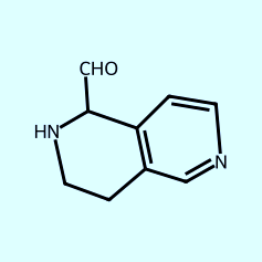 O=CC1NCCc2cnccc21